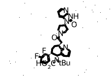 CC(C)(C)N(C(=O)O)[C@@H]1c2cccnc2[C@H](CC(=O)N2CCC(n3c(=O)[nH]c4ncccc43)CC2)CC[C@H]1c1cccc(F)c1F